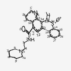 O=C(NCCN1CCCCC1)c1cc2c(c3ncccc13)N[S+]([O-])c1ccccc1-2